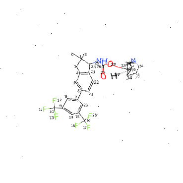 CC1(C)Cc2cc(-c3cc(C(F)(F)F)cc(C(F)(F)F)c3)ccc2C1NC(=O)O[C@H]1CN2CCC1CC2